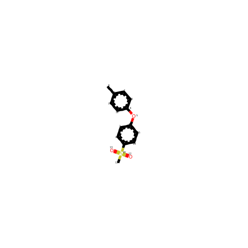 Cc1ccc(Oc2ccc(S(C)(=O)=O)cc2)cc1